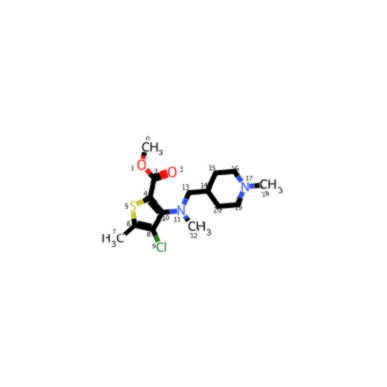 COC(=O)c1sc(C)c(Cl)c1N(C)CC1CCN(C)CC1